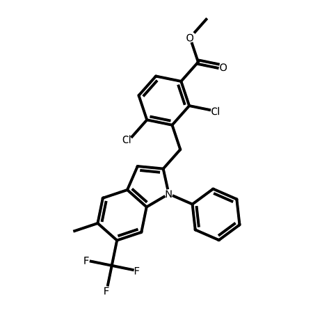 COC(=O)c1ccc(Cl)c(Cc2cc3cc(C)c(C(F)(F)F)cc3n2-c2ccccc2)c1Cl